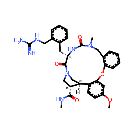 CNC(=O)[C@@H]1CN2C[C@H]1c1ccc(OC)cc1Oc1ccccc1CN(C)C(=O)N[C@@H](Cc1ccccc1CNC(=N)N)C2=O